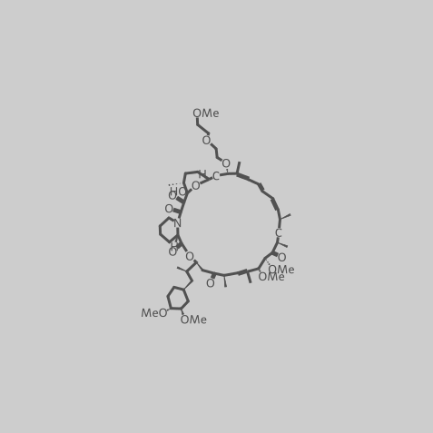 COCCOCCO[C@H]1C[C@@H]2CC[C@@H](C)[C@@](O)(O2)C(=O)C(=O)N2CCCC[C@H]2C(=O)O[C@H]([C@H](C)C[C@@H]2CC[C@@H](OC)[C@H](OC)C2)CC(=O)[C@H](C)/C=C(\C)[C@@H](OC)[C@@H](OC)C(=O)[C@H](C)C[C@H](C)/C=C/C=C/C=C/1C